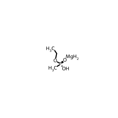 CCOP(C)(=O)O.[MgH2]